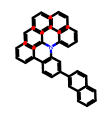 c1ccc(-c2ccccc2N(c2ccccc2-c2ccccc2)c2cc(-c3ccc4ccccc4c3)ccc2-c2ccccc2)cc1